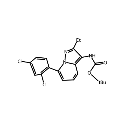 CCc1nn2c(-c3ccc(Cl)cc3Cl)cccc2c1NC(=O)OC(C)(C)C